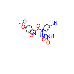 CC(=O)Oc1ccc2c(C(=O)Nc3ccc(C#N)cc3-c3noc(=O)[nH]3)noc2c1